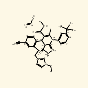 CCn1cc[n+](CCc2cc(C#N)ccc2C2C(C(=O)OC)=C(C)N(c3cccc(C(F)(F)F)c3)c3n[nH]c(=O)n32)c1.O=C[O-]